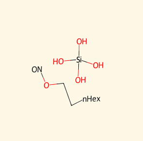 CCCCCCCCON=O.O[Si](O)(O)O